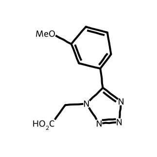 COc1cccc(-c2nnnn2CC(=O)O)c1